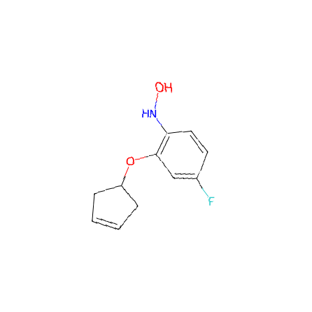 ONc1ccc(F)cc1OC1CC=CC1